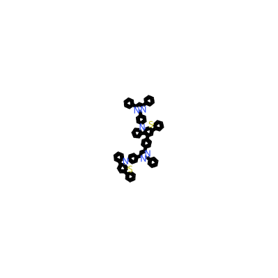 c1ccc(-c2cc(-c3ccccc3)nc(-c3ccc(-n4c5ccccc5c5c(-c6ccc(-c7cc(-c8ccc(-n9c%10ccccc%10c%10ccc%11c%12ccccc%12sc%11c%109)cc8)nc(-c8ccccc8)n7)cc6)cc6c7ccccc7sc6c54)cc3)n2)cc1